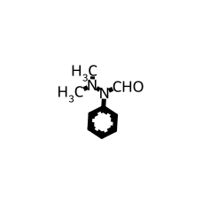 CN(C)N(C=O)c1ccccc1